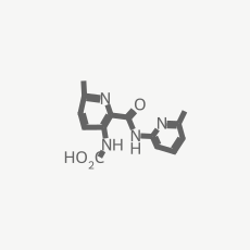 Cc1cccc(NC(=O)c2nc(C)ccc2NC(=O)O)n1